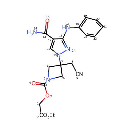 CCOC(=O)COC(=O)N1CC(CC#N)(n2cc(C(N)=O)c(Nc3ccccc3)n2)C1